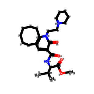 COC(=O)[C@H](NC(=O)c1cc2c(n(CCN3CCCCC3)c1=O)CCCCCC2)C(C)C